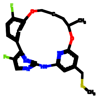 CSCc1cc2nc(c1)OC(C)CCCOc1cc(ccc1F)-c1nc(ncc1F)N2